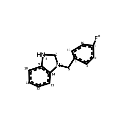 Fc1ccc(CN2[CH]Nc3ccccc32)cc1